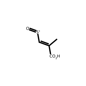 CC(=C[S+]=O)C(=O)O